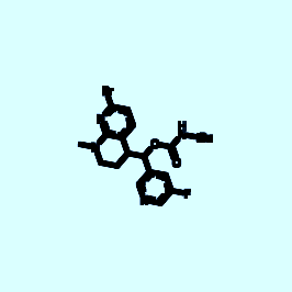 CN1CCC(C(OC(=O)NC(C)(C)C)c2cncc(F)c2)c2ccc(Br)nc21